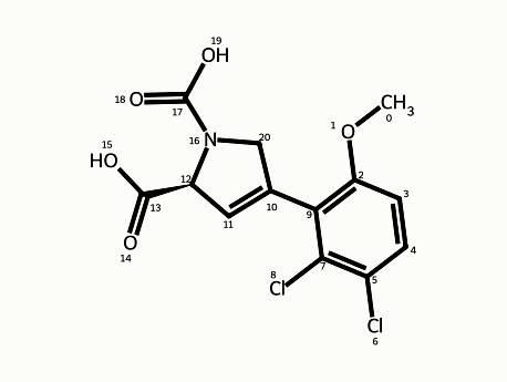 COc1ccc(Cl)c(Cl)c1C1=C[C@@H](C(=O)O)N(C(=O)O)C1